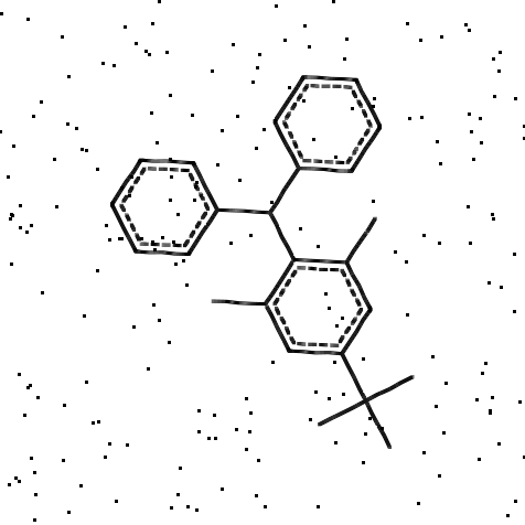 Cc1cc(C(C)(C)C)cc(C)c1C(c1ccccc1)c1ccccc1